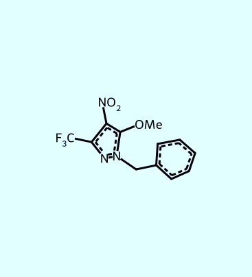 COc1c([N+](=O)[O-])c(C(F)(F)F)nn1Cc1ccccc1